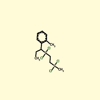 CCC(c1ccccc1C)[Si](Cl)(Cl)CC[Si](C)(Cl)Cl